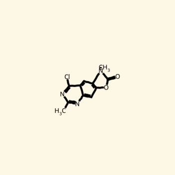 Cc1nc(Cl)c2cc3c(cc2n1)oc(=O)n3C